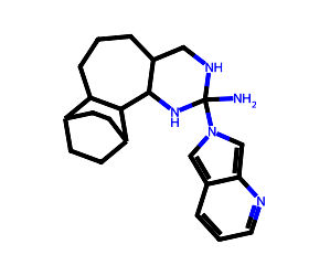 NC1(n2cc3cccnc3c2)NCC2CCCC3C4CCC(CC4)C3C2N1